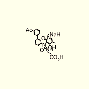 CC(=O)c1cccc(-c2cccc(N(C(=O)NCCC(=O)O)c3c(O)c(C)cn(C)c3=O)c2)c1.[NaH]